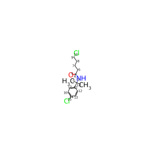 CC(C)(NC(=O)CCCCCl)c1ccc(Cl)cc1